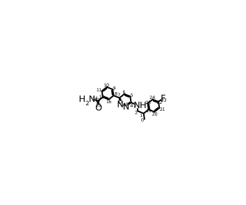 CC(CNc1ccc(-c2cccc(C(N)=O)c2)nn1)c1ccc(F)cc1